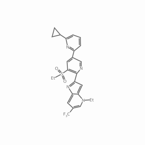 CCn1cc(C(F)(F)F)cc2nc(-c3ncc(-c4cccc(C5CC5)n4)cc3S(=O)(=O)CC)cc1-2